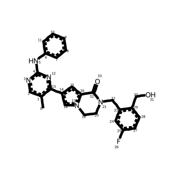 Cc1cnc(Nc2ccccc2)nc1-c1cc2n(c1)CCN(Cc1cc(F)ccc1CO)C2=O